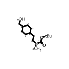 CN(CCC1CCC(CO)CC1)C(=O)OC(C)(C)C